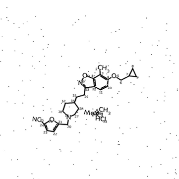 CNC.Cc1c(OCC2CC2)ccc2c(CCC3CCN(Cc4ccc(C#N)o4)CC3)noc12.Cl.Cl